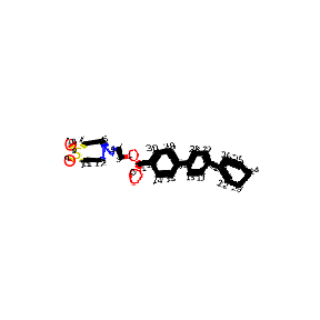 O=C(OCCN1CCS(=O)(=O)CC1)c1ccc(-c2ccc(-c3ccccc3)cc2)cc1